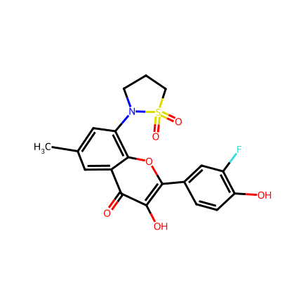 Cc1cc(N2CCCS2(=O)=O)c2oc(-c3ccc(O)c(F)c3)c(O)c(=O)c2c1